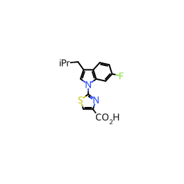 CC(C)Cc1cn(-c2nc(C(=O)O)cs2)c2cc(F)ccc12